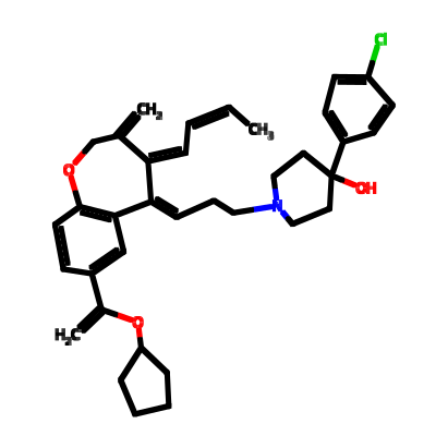 C=C1COc2ccc(C(=C)OC3CCCC3)cc2C(=C/CCN2CCC(O)(c3ccc(Cl)cc3)CC2)/C1=C/C=C\C